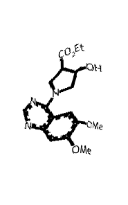 CCOC(=O)C1CN(c2ncnc3cc(OC)c(OC)cc23)CC1O